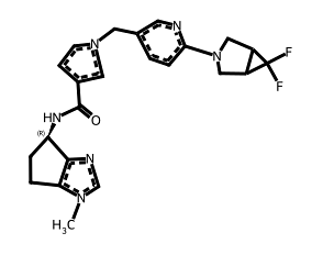 Cn1cnc2c1CC[C@H]2NC(=O)c1ccn(Cc2ccc(N3CC4C(C3)C4(F)F)nc2)c1